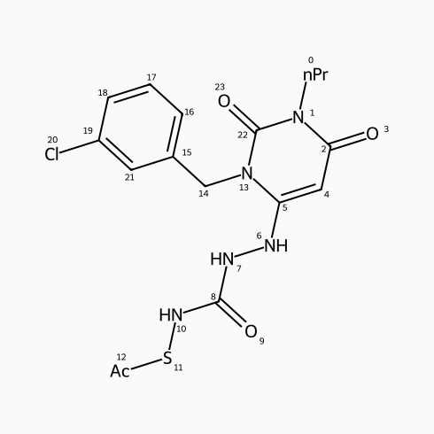 CCCn1c(=O)cc(NNC(=O)NSC(C)=O)n(Cc2cccc(Cl)c2)c1=O